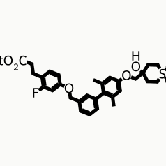 CCOC(=O)CCc1ccc(OCc2cccc(-c3c(C)cc(OCC4(O)CCS(=O)(=O)CC4)cc3C)c2)cc1F